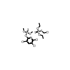 CCOP(=S)(OCC)SCCl.COP(=S)(OC)Oc1nc(Cl)c(Cl)cc1Cl